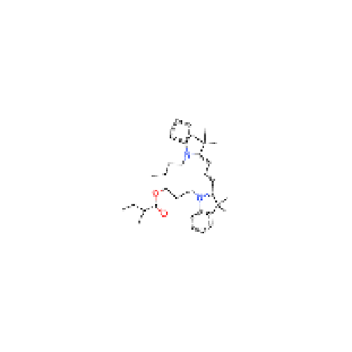 CCCCN1C(=CC=CC2=[N+](CCCOC(=O)C(C)CC)c3ccccc3C2(C)C)C(C)(C)c2ccccc21